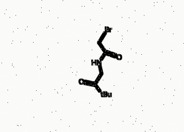 CC(C)(C)C(=O)CNC(=O)CBr